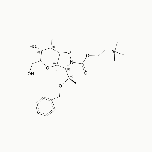 C[C@@H]1C2ON(C(=O)OCC[Si](C)(C)C)[C@H]([C@@H](C)OCc3ccccc3)[C@H]2OC(CO)[C@@H]1O